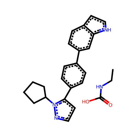 CCNC(=O)O.c1cc(-c2ccc(-c3ccc4cc[nH]c4c3)cc2)n(C2CCCC2)n1